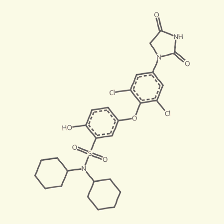 O=C1CN(c2cc(Cl)c(Oc3ccc(O)c(S(=O)(=O)N(C4CCCCC4)C4CCCCC4)c3)c(Cl)c2)C(=O)N1